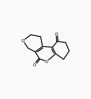 O=C1CCCc2oc(=O)c3c(c21)CCOC3